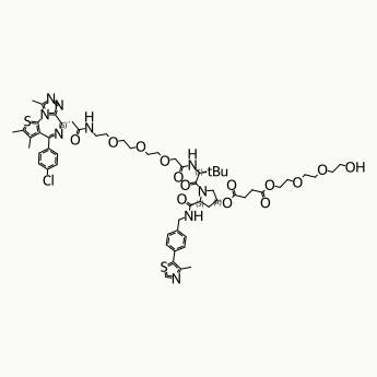 Cc1ncsc1-c1ccc(CNC(=O)[C@@H]2C[C@@H](OC(=O)CCC(=O)OCCOCCOCCO)CN2C(=O)[C@@H](NC(=O)COCCOCCOCCNC(=O)C[C@@H]2N=C(c3ccc(Cl)cc3)c3c(sc(C)c3C)-n3c(C)nnc32)C(C)(C)C)cc1